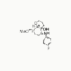 COC[C@@H]1CC[C@@H](Nc2ccc(F)cc2)C2(O)CCCO[C@H]12